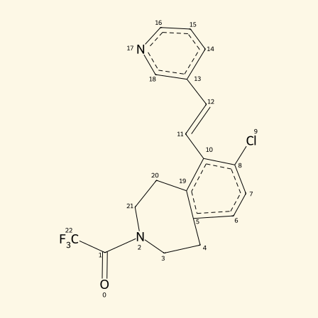 O=C(N1CCc2ccc(Cl)c(/C=C/c3cccnc3)c2CC1)C(F)(F)F